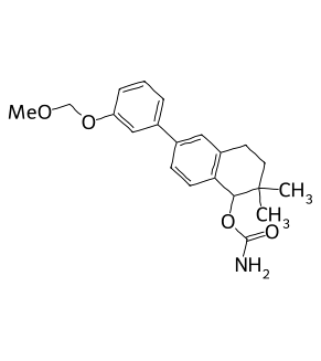 COCOc1cccc(-c2ccc3c(c2)CCC(C)(C)C3OC(N)=O)c1